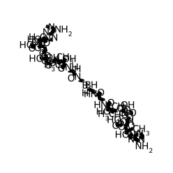 CC(C)(COP(=O)(O)OP(=O)(O)OCC1OC(C)(n2cnc3c(N)ncnc32)C(O)C1OP(=O)(O)O)C(O)C(=O)NCCC(=O)NCCBBCCNC(=O)CCNC(=O)C(O)C(C)(C)COP(=O)(O)OP(=O)(O)OCC1OC(C)(n2cnc3c(N)ncnc32)C(O)C1OP(=O)(O)O